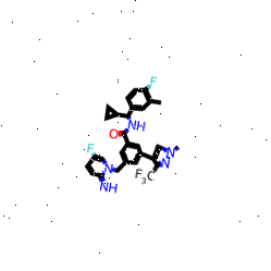 Cc1cc(C(NC(=O)c2cc(Cn3cc(F)ccc3=N)cc(-c3cn(C)nc3C(F)(F)F)c2)C2CC2)ccc1F